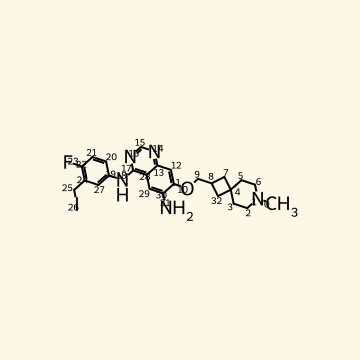 CN1CCC2(CC1)CC(COc1cc3ncnc(Nc4ccc(F)c(CI)c4)c3cc1N)C2